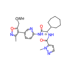 COCc1onc(C)c1-c1ccc(NC(=O)[C@@H](NC(=O)c2ccnn2C)C2CCCCCC2)nc1